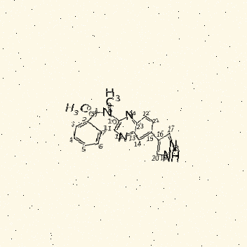 C[C@@H](c1ccccc1)N(C)c1cnc2cc(-c3cn[nH]c3)ccc2n1